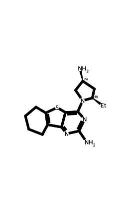 CC[C@@H]1C[C@H](N)CN1c1nc(N)nc2c3c(sc12)CCCC3